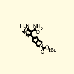 Cn1nc(C2=CC3CN(C(=O)OC(C)(C)C)CC3C2)c(C(N)=O)c1N